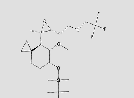 CO[C@@H]1C(O[Si](C)(C)C(C)(C)C)CCC2(CC2)[C@H]1[C@@]1(C)O[C@@H]1CCOCC(F)(F)F